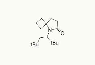 CC(C)(C)CC(N1C(=O)CCC12CCC2)C(C)(C)C